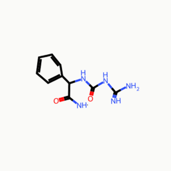 [NH]C(=O)C(NC(=O)NC(=N)N)c1ccccc1